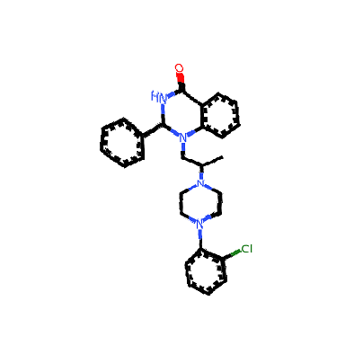 CC(CN1c2ccccc2C(=O)NC1c1ccccc1)N1CCN(c2ccccc2Cl)CC1